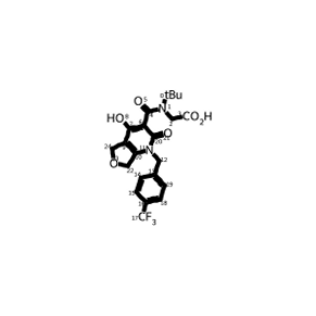 CC(C)(C)N(CC(=O)O)C(=O)c1c(O)c2c(n(Cc3ccc(C(F)(F)F)cc3)c1=O)COC2